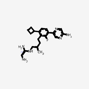 CC(CCc1c(C2CCC2)ccc(-c2cnc(N)cn2)c1F)CN/C(N)=C\N